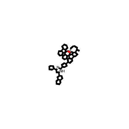 C=C1/C=C\C=C/Sc2c1ccc1c2C2(c3cc(-c4ccc(C5N=C(c6ccccc6)C=C(c6ccc7ccccc7c6)N5)cc4)ccc3-1)c1ccccc1C1(c3ccccc3-c3ccccc31)c1ccccc12